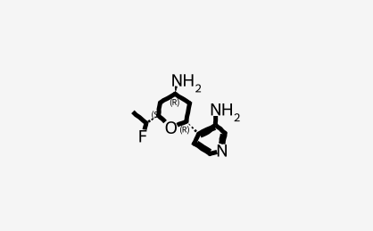 CC(F)[C@@H]1C[C@H](N)C[C@H](c2ccncc2N)O1